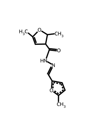 CC1=CC(C(=O)N/N=C/c2ccc(C)o2)C(C)O1